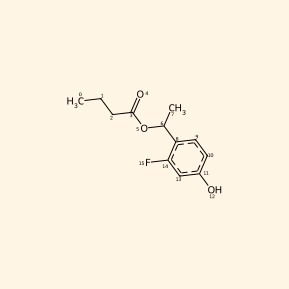 CCCC(=O)OC(C)c1ccc(O)cc1F